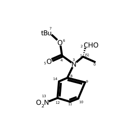 C[C@@H](C=O)N(C(=O)OC(C)(C)C)c1cccc([N+](=O)[O-])c1